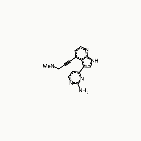 CNCC#Cc1ccnc2[nH]cc(-c3ccnc(N)n3)c12